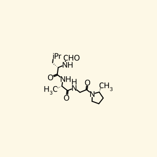 CC(C)C[C@H](NC=O)C(=O)N[C@@H](C)C(=O)NCC(=O)N1CCC[C@H]1C